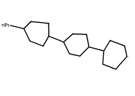 CCCC1CCC(C2CCC(C3CC[CH]CC3)CC2)CC1